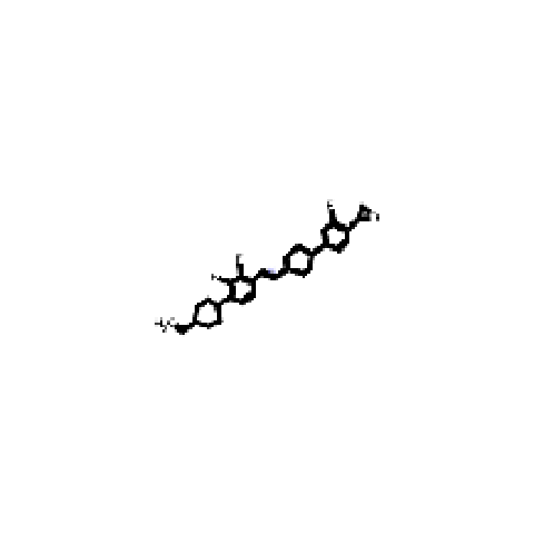 C=CC1CCC(c2ccc(/C=C/C3CCC(c4ccc(C5CO5)c(F)c4)CC3)c(F)c2F)CC1